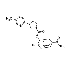 Cc1ccc(C2CCN(C(=O)OC3C4CC5C[C@@H]3C[C@@](C(N)=O)(C5)C4)C2)nc1